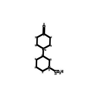 O=C1CCN(C2CCCN(C(=O)O)C2)CC1